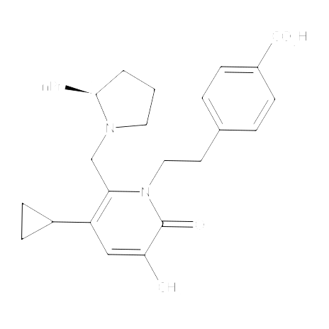 CCC[C@H]1CCCN1Cc1c(C2CC2)cc(C)c(=O)n1CCc1ccc(C(=O)O)cc1